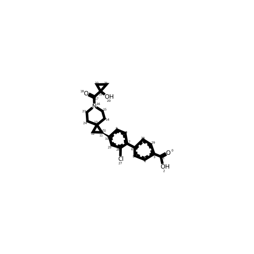 O=C(O)c1ccc(-c2ccc([C@H]3CC34CCN(C(=O)C3(O)CC3)CC4)cc2Cl)cc1